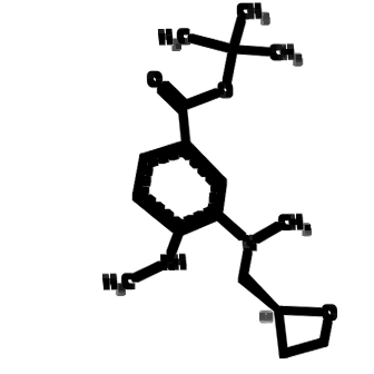 CNc1ccc(C(=O)OC(C)(C)C)cc1N(C)C[C@@H]1CCO1